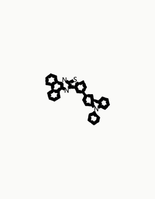 c1ccc(-n2c3ccccc3c3cc(-c4ccc5sc6nc7c8ccccc8c8ccccc8c7nc6c5c4)ccc32)cc1